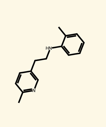 Cc1ccc(CCNc2ccccc2C)cn1